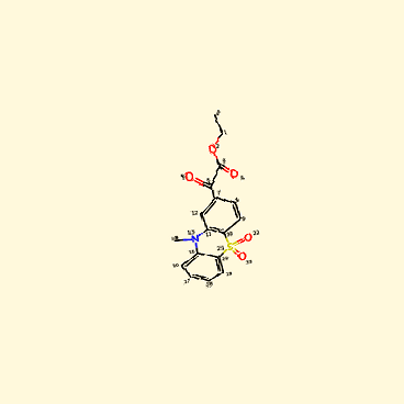 CCOC(=O)C(=O)c1ccc2c(c1)N(C)c1ccccc1S2(=O)=O